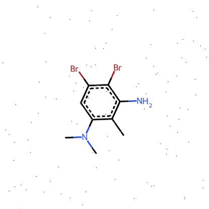 Cc1c(N(C)C)cc(Br)c(Br)c1N